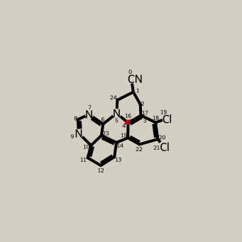 N#CC1CCCN(c2ncnc3cccc(-c4ccc(Cl)c(Cl)c4)c23)C1